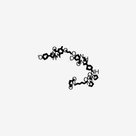 COc1ccc(C2=CN3C(=O)c4cc(C)c(OCCCOc5cc6c(cc5OC)C(=O)N5C=C(c7ccc(NC(=O)[C@@H]8CCCN8C(=O)[C@@H]8CCCN8C(=O)CCCCCN8C(=O)C=CC8=O)cc7)C[C@H]5C=N6)cc4N=C[C@@H]3C2)cc1